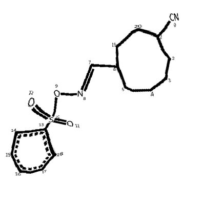 N#CC1CCCCC(/C=N/OS(=O)(=O)c2ccccc2)CC1